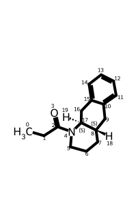 CCC(=O)N1CCC[C@H]2Cc3ccccc3C[C@@H]21